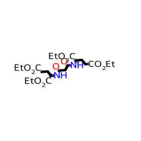 CCOC(=O)CC[C@H](NC(=O)CC(=O)N[C@@H](CCC(=O)OCC)C(=O)OCC)C(=O)OCC